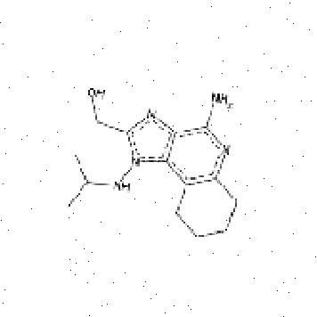 CC(C)Nn1c(CO)nc2c(N)nc3c(c21)CCCC3